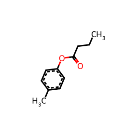 CCCC(=O)Oc1ccc(C)cc1